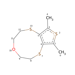 Cc1sc(C)c2c1SCCOCCS2